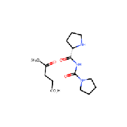 COC(=O)CCC(=O)O.O=C(NC(=O)N1CCCC1)[C@@H]1CCCN1